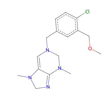 COCc1cc(CN2C=C3C(=NCN3C)N(C)C2)ccc1Cl